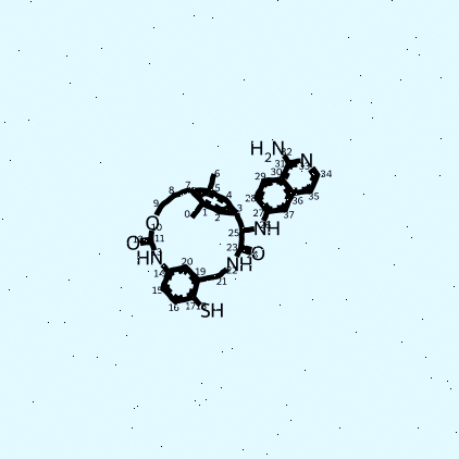 Cc1cc2cc(C)c1CCOC(=O)Nc1ccc(S)c(c1)CNC(=O)C2Nc1ccc2c(N)nccc2c1